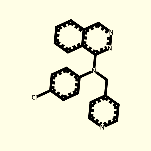 Clc1ccc(N(Cc2ccncc2)c2nncc3ccccc23)cc1